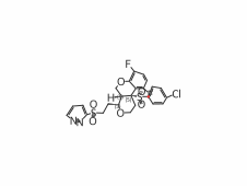 O=S(=O)(CC[C@@H]1OCC[C@@]2(S(=O)(=O)c3ccc(Cl)cc3)c3c(F)ccc(F)c3OC[C@@H]12)c1cccnn1